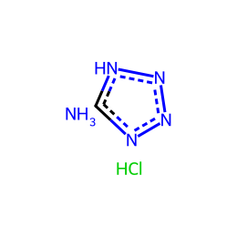 Cl.N.c1nnn[nH]1